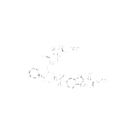 CNCC(=O)N[C@H](C(=O)N[C@@H](Cc1ccccc1)[C@H](O)CN(CC(C)C)S(=O)(=O)c1ccc2[nH]c(NC(=O)OC)nc2c1)C(C)(C)C